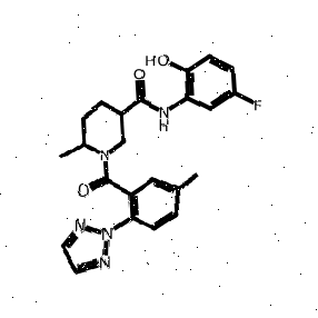 Cc1ccc(-n2nccn2)c(C(=O)N2CC(C(=O)Nc3cc(F)ccc3O)CCC2C)c1